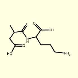 CC(CC(=O)O)C(=O)NC(CCCN)C(=O)O